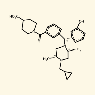 C[C@@H]1CN([C@@H](c2cccc(O)c2)c2cccc(C(=O)N3CCC(C(=O)O)CC3)c2)[C@@H](C)CN1CC1CC1